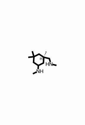 CNC[C@@]1(C)CC(NC)CC(C)(C)C1